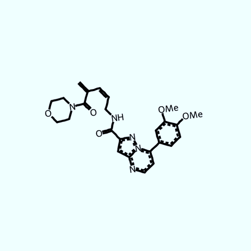 C=C(/C=C\CNC(=O)c1cc2nccc(-c3ccc(OC)c(OC)c3)n2n1)C(=O)N1CCOCC1